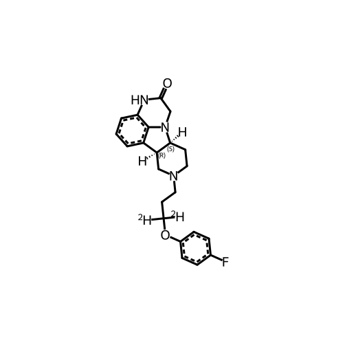 [2H]C([2H])(CCN1CC[C@H]2[C@@H](C1)c1cccc3c1N2CC(=O)N3)Oc1ccc(F)cc1